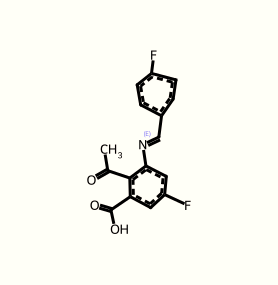 CC(=O)c1c(/N=C/c2ccc(F)cc2)cc(F)cc1C(=O)O